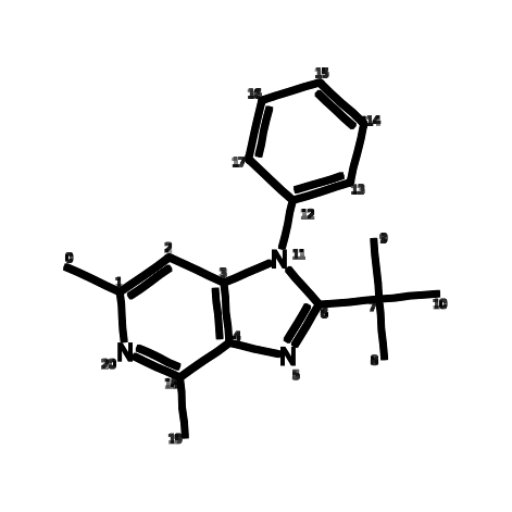 Cc1cc2c(nc(C(C)(C)C)n2-c2c[c]ccc2)c(C)n1